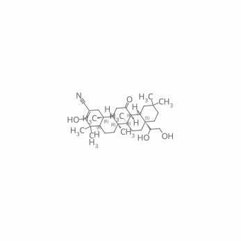 CC1(C)CC[C@]2(C(O)CO)CC[C@]3(C)[C@H](C(=O)C[C@@H]4[C@@]5(C)CC(C#N)=C(O)C(C)(C)[C@@H]5CC[C@]43C)[C@@H]2C1